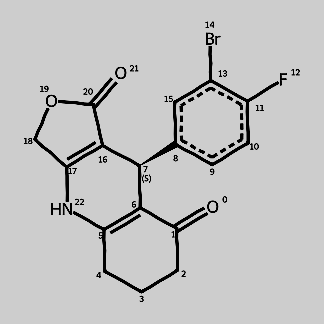 O=C1CCCC2=C1[C@H](c1ccc(F)c(Br)c1)C1=C(COC1=O)N2